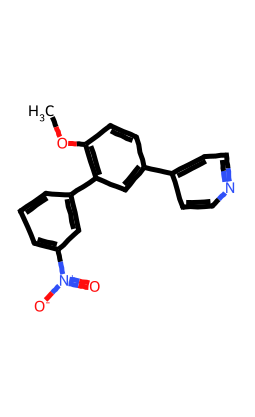 COc1ccc(-c2ccncc2)cc1-c1cccc([N+](=O)[O-])c1